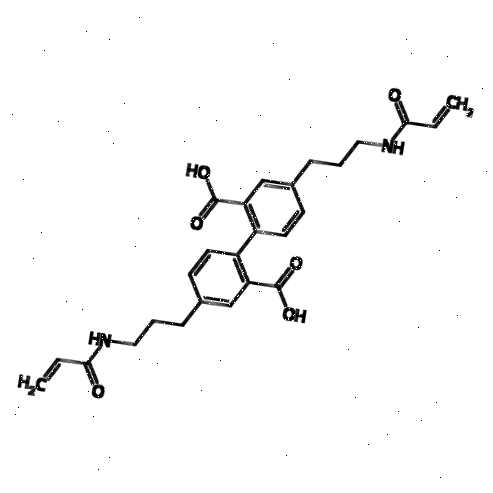 C=CC(=O)NCCCc1ccc(-c2ccc(CCCNC(=O)C=C)cc2C(=O)O)c(C(=O)O)c1